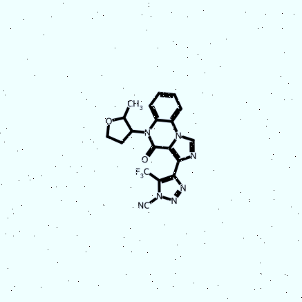 CC1OCCC1n1c(=O)c2c(-c3nnn(C#N)c3C(F)(F)F)ncn2c2ccccc21